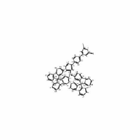 Cc1cc(C)cc(-c2ccc(-c3cccc(N(c4ccc5c(c4)C(c4ccccc4)(c4ccccc4)c4ccccc4-5)c4ccc5c(c4)C(c4ccccc4)(c4ccccc4)c4ccccc4-5)c3)cc2)c1